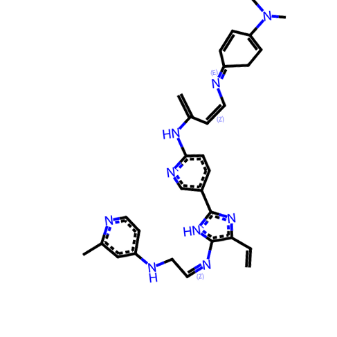 C=Cc1nc(-c2ccc(NC(=C)/C=C\N=C3\C=CC(N(C)C)=CC3)nc2)[nH]c1/N=C\CNc1ccnc(C)c1